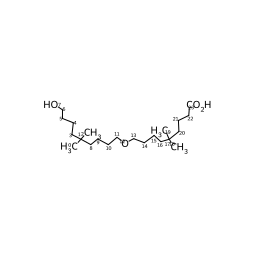 CC(C)(CCCCO)CCCCOCCCCC(C)(C)CCCC(=O)O